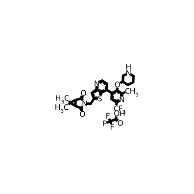 Cc1nc(C(F)(F)F)cc(-c2ccnc3cc(CN4C(=O)C5C(C4=O)C5(C)C)sc23)c1OC1CCCNC1.O=C(O)C(F)(F)F